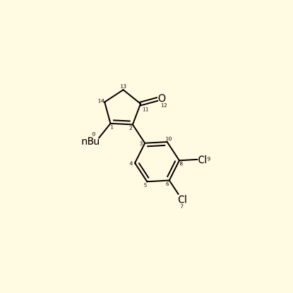 CCCCC1=C(c2ccc(Cl)c(Cl)c2)C(=O)CC1